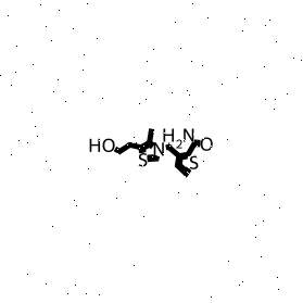 Cc1c(CCO)sc[n+]1Cc1ccsc1C(N)=O